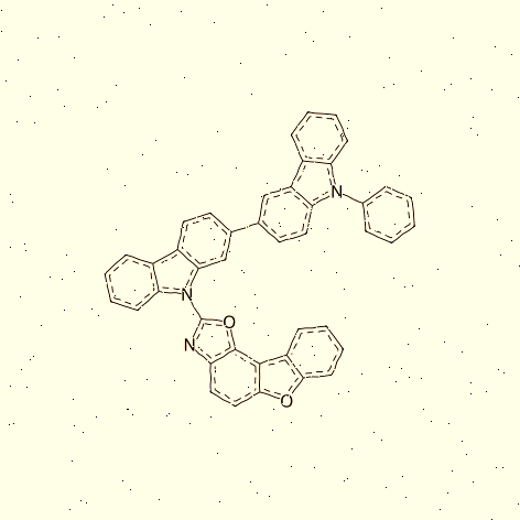 c1ccc(-n2c3ccccc3c3cc(-c4ccc5c6ccccc6n(-c6nc7ccc8oc9ccccc9c8c7o6)c5c4)ccc32)cc1